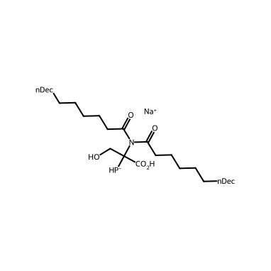 CCCCCCCCCCCCCCCC(=O)N(C(=O)CCCCCCCCCCCCCCC)C([PH-])(CO)C(=O)O.[Na+]